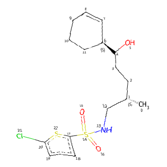 C[C@@H](CCC(O)[C@@H]1C=CCCC1)CNS(=O)(=O)c1ccc(Cl)s1